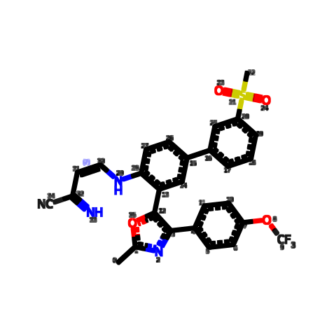 Cc1nc(-c2ccc(OC(F)(F)F)cc2)c(-c2cc(-c3cccc(S(C)(=O)=O)c3)ccc2N/C=C\C(=N)C#N)o1